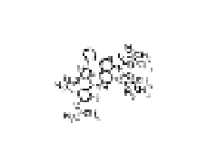 CCc1cc(C(Nc2ccc3c(N(C(=O)OC(C)(C)C)C(=O)OC(C)(C)C)nccc3c2)c2nc(-c3ccccc3)nn2C)c(F)cc1OC(C)C